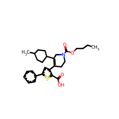 CCCCOC(=O)N1CCC(c2cc(-c3ccccc3)sc2C(=O)O)=C(C2CCC(C)CC2)C1